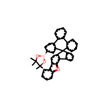 CC1(C)OB(c2ccc3c(c2)C2(c4ccccc4-c4ccccc4-3)c3ccccc3-c3c2ccc2c3oc3ccccc32)OC1(C)C